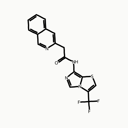 O=C(Cc1cc2ccccc2cn1)Nc1ncn2c(C(F)(F)F)csc12